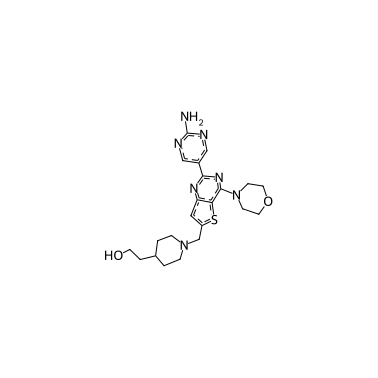 Nc1ncc(-c2nc(N3CCOCC3)c3sc(CN4CCC(CCO)CC4)cc3n2)cn1